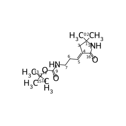 CC1(C)CC(=CCCNC(=O)OC(C)(C)C)C(=O)N1